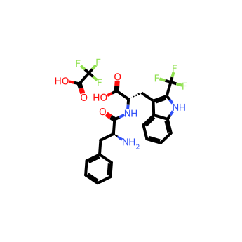 N[C@@H](Cc1ccccc1)C(=O)N[C@@H](Cc1c(C(F)(F)F)[nH]c2ccccc12)C(=O)O.O=C(O)C(F)(F)F